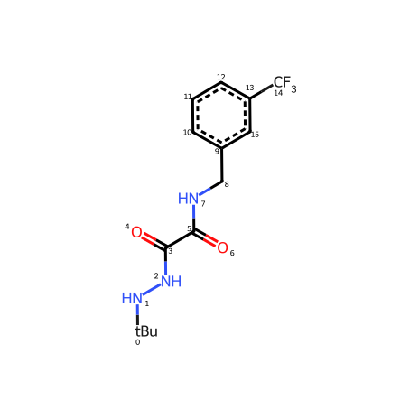 CC(C)(C)NNC(=O)C(=O)NCc1cccc(C(F)(F)F)c1